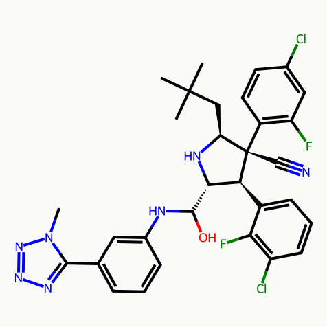 Cn1nnnc1-c1cccc(NC(O)[C@@H]2N[C@@H](CC(C)(C)C)[C@](C#N)(c3ccc(Cl)cc3F)[C@H]2c2cccc(Cl)c2F)c1